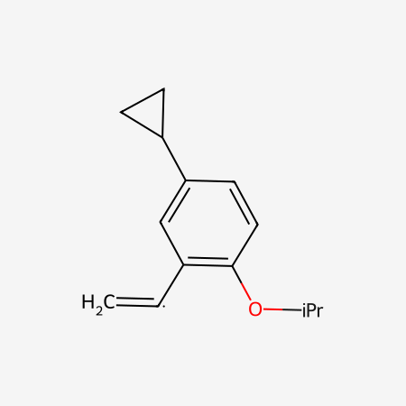 C=[C]c1cc(C2CC2)ccc1OC(C)C